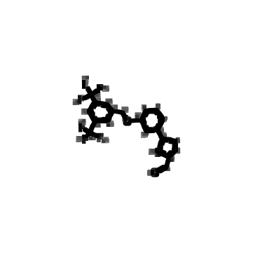 O=Cc1ccc(-c2cccc(OCc3cc(C(F)(F)F)cc(C(F)(F)F)c3)c2)s1